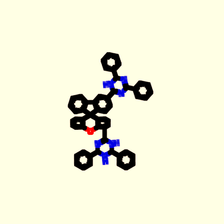 c1ccc(C2=NC(c3ccccc3)NC(c3ccc4c(c3)-c3ccccc3C43c4ccccc4Oc4c(C5=NC(c6ccccc6)NC(c6ccccc6)N5)cccc43)=N2)cc1